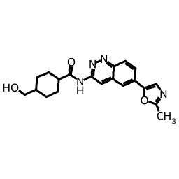 Cc1ncc(-c2ccc3nnc(NC(=O)C4CCC(CO)CC4)cc3c2)o1